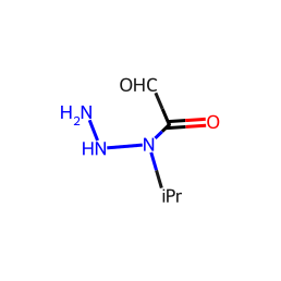 CC(C)N(NN)C(=O)C=O